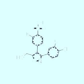 CS(=O)(=O)c1ccc(-c2c(-c3ccc(Cl)c(Cl)c3)noc2CO)cc1F